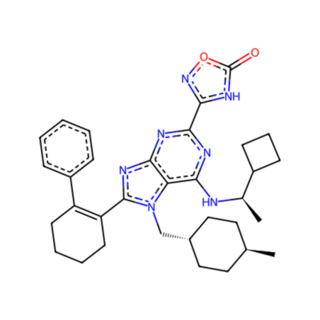 C[C@@H](Nc1nc(-c2noc(=O)[nH]2)nc2nc(C3=C(c4ccccc4)CCCC3)n(C[C@H]3CC[C@H](C)CC3)c12)C1CCC1